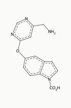 NCc1cc(Oc2ccc3c(ccn3C(=O)O)c2)ncn1